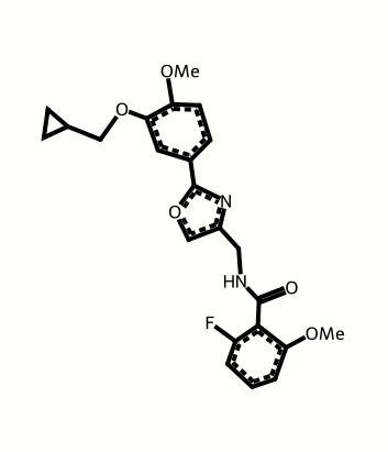 COc1ccc(-c2nc(CNC(=O)c3c(F)cccc3OC)co2)cc1OCC1CC1